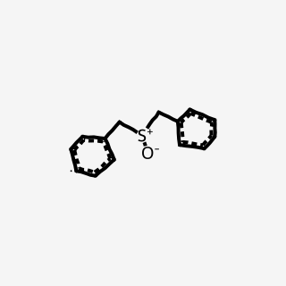 [O-][S+](Cc1cc[c]cc1)Cc1ccccc1